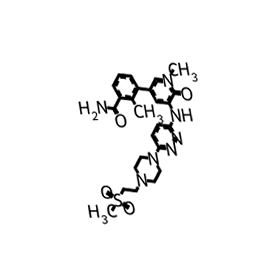 Cc1c(C(N)=O)cccc1-c1cc(Nc2ccc(N3CCN(CCS(C)(=O)=O)CC3)nn2)c(=O)n(C)c1